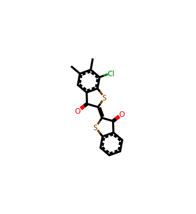 Cc1cc2c(c(Cl)c1C)SC(=C1Sc3ccccc3C1=O)C2=O